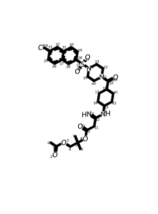 CC(=O)OCC(C)(C)OC(=O)CC(=N)NC1CCC(C(=O)N2CCN(S(=O)(=O)c3ccc4cc(Cl)ccc4c3)CC2)CC1